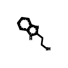 SCCc1nc2ccccc2[nH]1